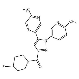 Cc1ccc(-n2nc(C(=O)N3CCC(F)CC3)cc2-c2cnc(C)cn2)cn1